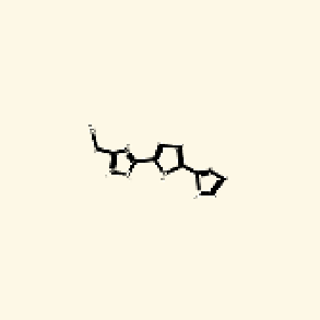 ClCc1noc(-c2ccc(-c3cccs3)s2)n1